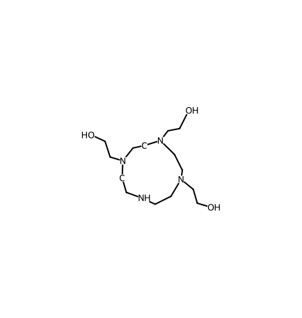 OCCN1CCNCCN(CCO)CCN(CCO)CC1